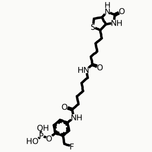 O=C(CCCCC1SCC2NC(=O)NC21)NCCCCCC(=O)Nc1ccc(OP(O)O)c(CF)c1